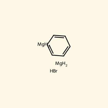 Br.[MgH2].[MgH2].c1ccccc1